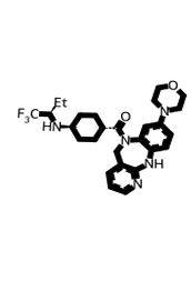 CC[C@H](N[C@H]1CC[C@H](C(=O)N2Cc3cccnc3Nc3ccc(N4CCOCC4)cc32)CC1)C(F)(F)F